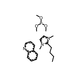 CCCCc1n(C)cc[n+]1C.COP(OC)OC.c1ccc2ncccc2c1